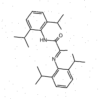 C/C(=N\c1c(C(C)C)cccc1C(C)C)C(=O)Nc1c(C(C)C)cccc1C(C)C